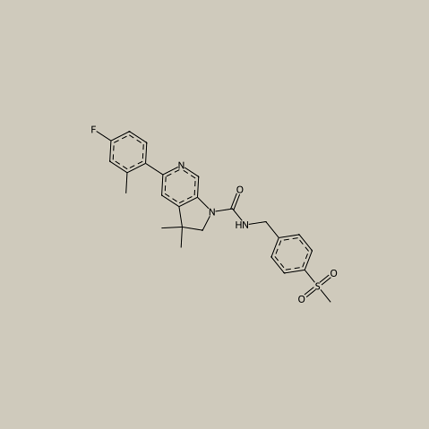 Cc1cc(F)ccc1-c1cc2c(cn1)N(C(=O)NCc1ccc(S(C)(=O)=O)cc1)CC2(C)C